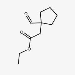 CCOC(=O)CC1(C=O)CCCC1